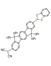 CCCC1(CCC)c2cc(C(C#N)C#N)ccc2-c2cc3c(cc21)-c1ccc(C2Sc4ccccc4S2)cc1C3(CCC)CCC